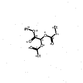 CCSC(=O)OC(OC(=O)CC)C(=O)OC(C)C